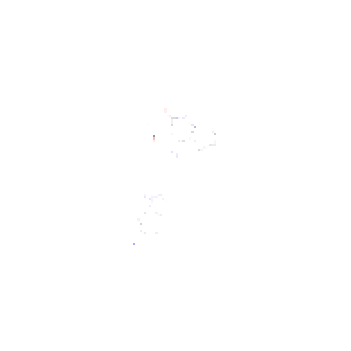 Cn1c(=O)c(C(N)=O)c(N2CCC(c3nc4cc(N)ccc4o3)CC2)c2cc(OCC3CC3)ccc21